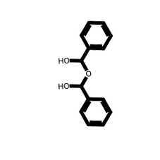 OC(OC(O)c1ccccc1)c1ccccc1